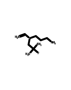 C=CN(CCCN)CC(C)(C)F